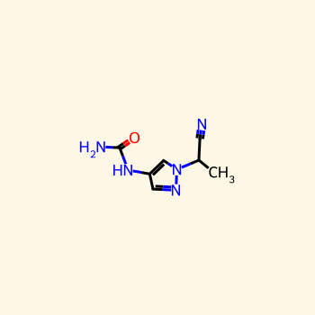 CC(C#N)n1cc(NC(N)=O)cn1